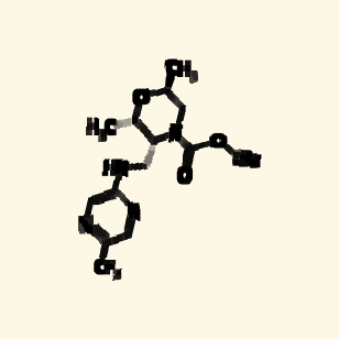 C[C@@H]1O[C@@H](C)CN(C(=O)OC(C)(C)C)[C@@H]1CNc1cnc(C(F)(F)F)cn1